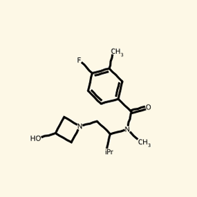 Cc1cc(C(=O)N(C)C(CN2CC(O)C2)C(C)C)ccc1F